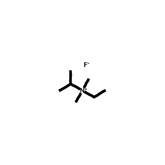 CC[N+](C)(C)C(C)C.[F-]